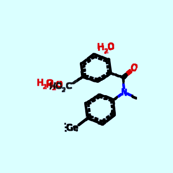 CN(C(=O)c1cccc(C(=O)O)c1)c1cc[c]([Ge])cc1.O.O.O